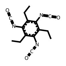 CCc1c(N=C=O)c(CC)c(N=C=O)c(CC)c1N=C=O